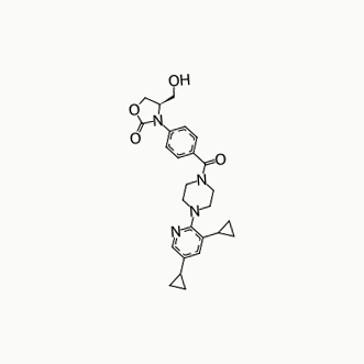 O=C(c1ccc(N2C(=O)OC[C@H]2CO)cc1)N1CCN(c2ncc(C3CC3)cc2C2CC2)CC1